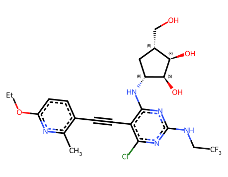 CCOc1ccc(C#Cc2c(Cl)nc(NCC(F)(F)F)nc2N[C@@H]2C[C@H](CO)[C@@H](O)[C@H]2O)c(C)n1